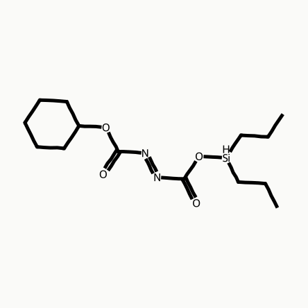 CCC[SiH](CCC)OC(=O)N=NC(=O)OC1CCCCC1